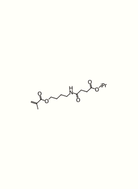 C=C(C)C(=O)OCCCCNC(=O)CCC(=O)OC(C)C